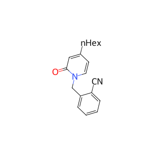 CCCCCCc1ccn(Cc2ccccc2C#N)c(=O)c1